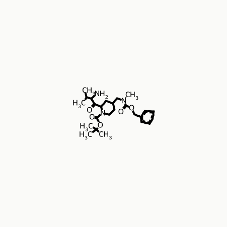 CC(C)C(N)C(=O)C1CC(CN(C)C(=O)OCc2ccccc2)CCN1C(=O)OC(C)(C)C